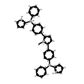 Cn1c(-c2ccc(N(c3ccccc3)c3cccs3)cc2)ccc1-c1ccc(N(c2ccccc2)c2cccs2)cc1